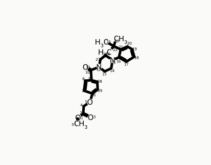 COC(=O)COc1ccc(C(=O)N2CCN(c3ccccc3C(C)(C)C)CC2)cc1